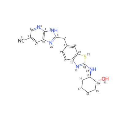 N#Cc1cnc2[nH]c(Cc3ccc4nc(N[C@@H]5CCCC[C@H]5O)sc4c3)nc2c1